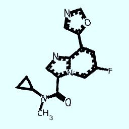 CN(C(=O)c1cnc2c(-c3cnco3)cc(F)cn12)C1CC1